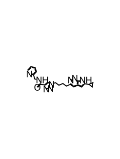 O=C(NCc1ccccn1)c1cn(CCCCc2cc3cc(C4CC4)[nH]c3nn2)nn1